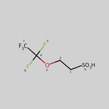 O=S(=O)(O)CCOC(F)(F)C(F)(F)F